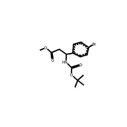 COC(=O)CC(NC(=O)OC(C)(C)C)c1ccc(Br)cc1